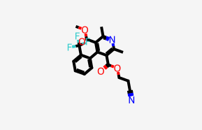 COC(=O)c1c(C)nc(C)c(C(=O)OCCC#N)c1-c1ccccc1C(F)(F)F